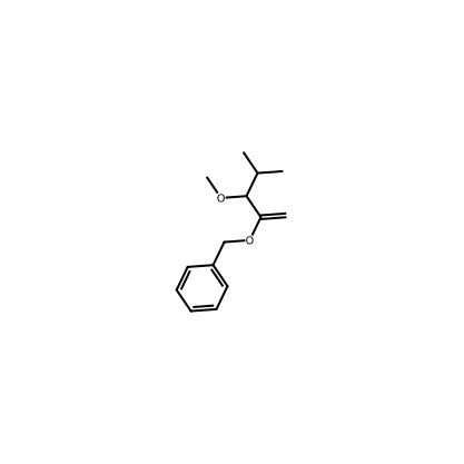 C=C(OCc1ccccc1)C(OC)C(C)C